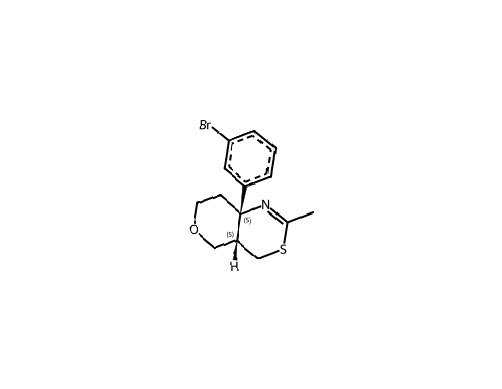 CC1=N[C@@]2(c3cccc(Br)c3)CCOC[C@H]2CS1